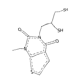 Cn1c(=O)n(CC(S)CS)c(=O)c2ccsc21